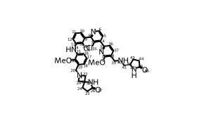 COc1nc(-c2ccnc(-c3cccc(Nc4cccc(CN5CC6(CCC(=O)N6)C5)c4OC)c3Cl)c2Cl)ccc1CNC[C@H]1CCC(=O)N1